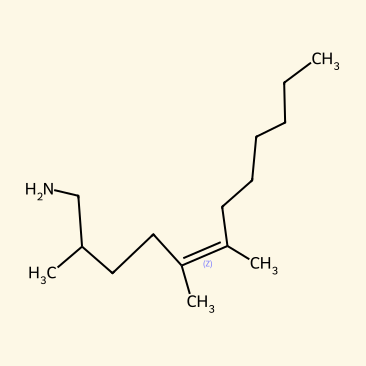 CCCCCC/C(C)=C(/C)CCC(C)CN